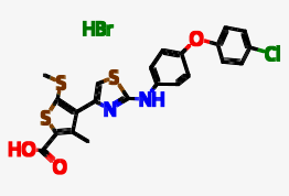 Br.CSc1sc(C(=O)O)c(C)c1-c1csc(Nc2ccc(Oc3ccc(Cl)cc3)cc2)n1